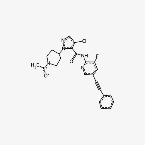 C[S+]([O-])N1CCC(n2ncc(Cl)c2C(=O)Nc2ncc(C#Cc3ccccc3)cc2F)CC1